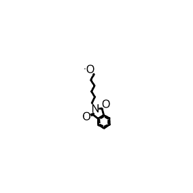 [O]CCCCCCN1C(=O)c2ccccc2C1=O